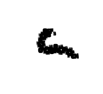 N#Cc1ccc(CN2CCC(NC(=O)c3cc4cc(C(=O)N5CCN(Cc6ccc(S(=O)(=O)C(F)(F)F)cc6)CC5)ccc4o3)CC2)cc1